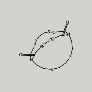 O=C1COCCOCC(=O)N2CCSCCSCCN1CCSCCSCC2